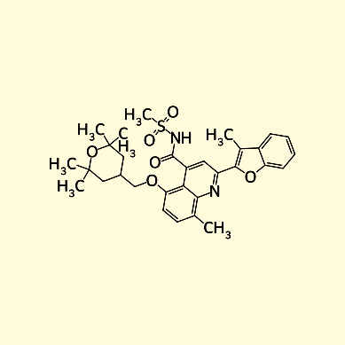 Cc1c(-c2cc(C(=O)NS(C)(=O)=O)c3c(OCC4CC(C)(C)OC(C)(C)C4)ccc(C)c3n2)oc2ccccc12